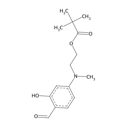 CN(CCOC(=O)C(C)(C)C)c1ccc(C=O)c(O)c1